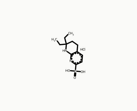 CCC1(CC)CCc2ccc(P(=O)(O)O)nc2N1.Cl